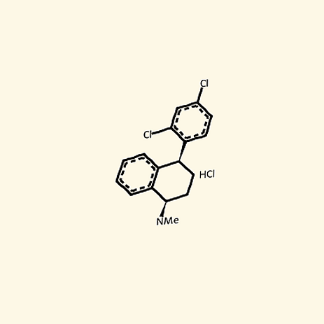 CN[C@@H]1CC[C@H](c2ccc(Cl)cc2Cl)c2ccccc21.Cl